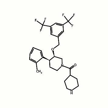 Cc1ccccc1[C@@H]1CCN(C(=O)C2CCNCC2)C[C@@H]1OCc1cc(C(F)(F)F)cc(C(F)(F)F)c1